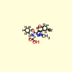 Cn1nc(C(=O)N(CC(=O)O)Cc2ccccc2)c2c1-c1cc(Br)ccc1OC2